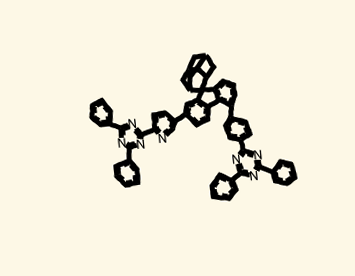 c1ccc(-c2nc(-c3ccccc3)nc(-c3ccc(-c4cccc5c4-c4ccc(-c6ccc(-c7nc(-c8ccccc8)nc(-c8ccccc8)n7)nc6)cc4C54C5CC6CC(C5)CC4C6)cc3)n2)cc1